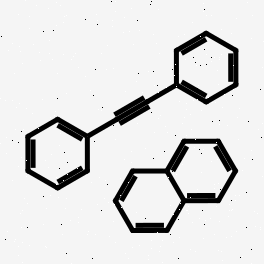 C(#Cc1ccccc1)c1ccccc1.c1ccc2ccccc2c1